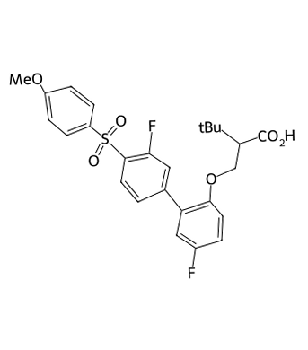 COc1ccc(S(=O)(=O)c2ccc(-c3cc(F)ccc3OCC(C(=O)O)C(C)(C)C)cc2F)cc1